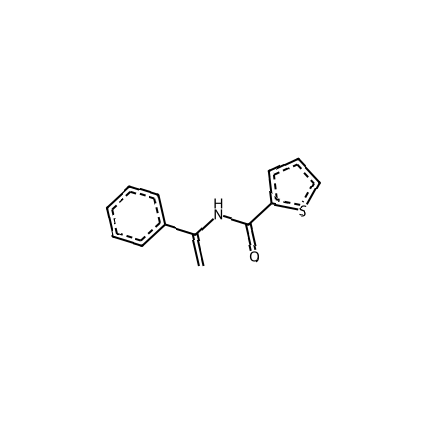 C=C(NC(=O)c1cccs1)c1ccccc1